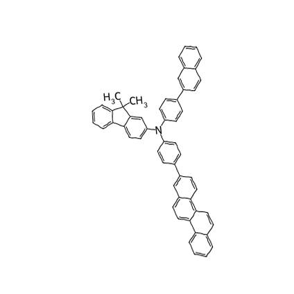 CC1(C)c2ccccc2-c2ccc(N(c3ccc(-c4ccc5ccccc5c4)cc3)c3ccc(-c4ccc5c(ccc6c7ccccc7ccc56)c4)cc3)cc21